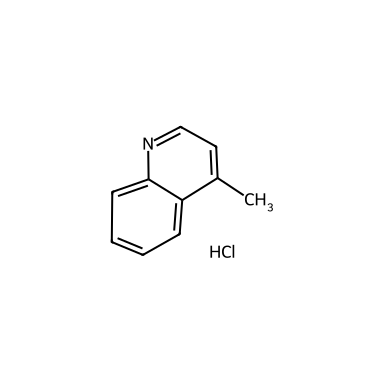 Cc1ccnc2ccccc12.Cl